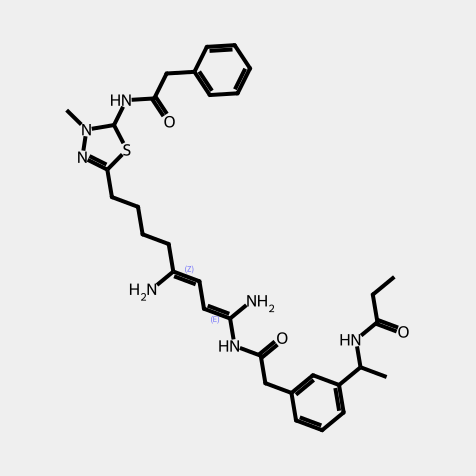 CCC(=O)NC(C)c1cccc(CC(=O)N/C(N)=C/C=C(\N)CCCCC2=NN(C)C(NC(=O)Cc3ccccc3)S2)c1